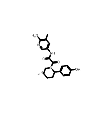 Cc1cc(NC(=O)C(=O)N2C[C@@H](C)CCC2c2ccc(O)cc2)cnc1N